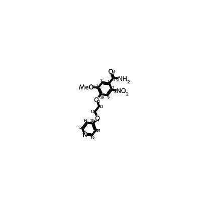 COc1cc(C(N)=O)c([N+](=O)[O-])cc1OCCOc1ccncc1